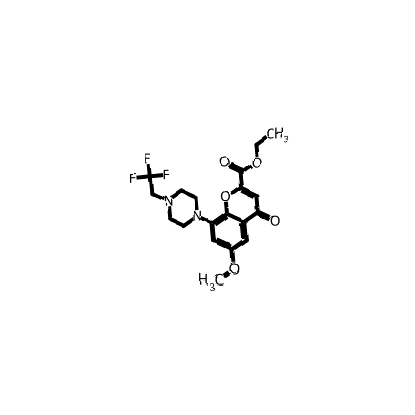 CCOC(=O)c1cc(=O)c2cc(OC)cc(N3CCN(CC(F)(F)F)CC3)c2o1